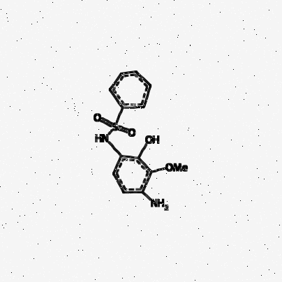 COc1c(N)ccc(NS(=O)(=O)c2ccccc2)c1O